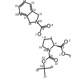 COC(=O)[C@@H]1C[C@@H](OC(=O)N2Cc3cccnc3C2)CN1C(=O)OC(C)(C)C